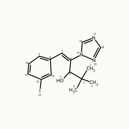 CC(C)(C)C(O)/C(=C\c1cccc(I)c1)n1cncn1